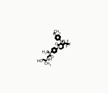 COc1ccc(-n2nc(C(F)(F)F)c3c2C(=O)N(c2ccc(N(C)C(=O)CN[C@H](C)CO)cc2)CC3)cc1